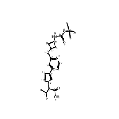 CC(C)C(C(=O)O)n1cc(-c2ccnc(OC3CC(NC(=O)OC(C)(C)C)C3)c2)cn1